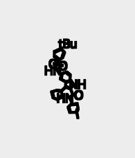 Cc1ccc(NC(=O)c2[nH]c3ccc(NS(=O)(=O)c4ccc(C(C)(C)C)cc4)cc3c2-c2ccccc2)cc1